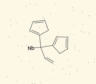 C=C[C]([Nb])(C1=CC=CC1)C1=CC=CC1